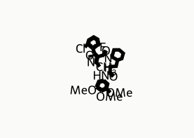 COc1cc(NC(=O)CCC2CCCCC2NC(=O)c2c(C)noc2-c2c(F)cccc2Cl)cc(OC)c1OC